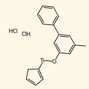 Cc1cc([O][Ti][C]2=CC=CC2)cc(-c2ccccc2)c1.Cl.Cl